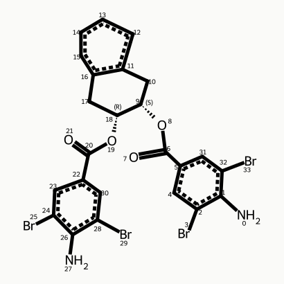 Nc1c(Br)cc(C(=O)O[C@H]2Cc3ccccc3C[C@H]2OC(=O)c2cc(Br)c(N)c(Br)c2)cc1Br